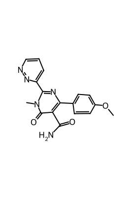 COc1ccc(-c2nc(-c3cccnn3)n(C)c(=O)c2C(N)=O)cc1